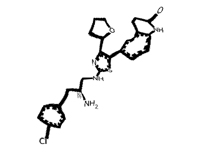 N[C@H](CNc1nc(C2CCCO2)c(-c2ccc3c(c2)CC(=O)N3)s1)Cc1ccc(Cl)cc1